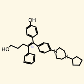 OCCC/C(=C(\c1ccc(O)cc1)c1ccc(N2CCN(C3CCCC3)CC2)cc1)c1ccccc1